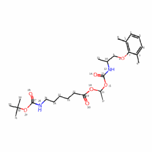 Cc1cccc(C)c1OCC(C)NC(=O)OC(C)OC(=O)CCCCCNC(=O)OC(C)(C)C